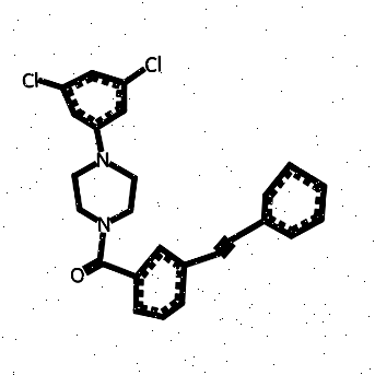 O=C(c1cccc(C#Cc2ccccc2)c1)N1CCN(c2cc(Cl)cc(Cl)c2)CC1